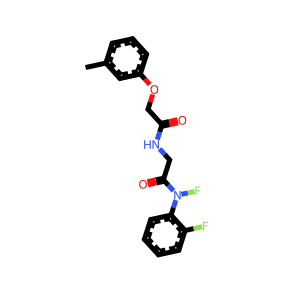 Cc1cccc(OCC(=O)NCC(=O)N(F)c2ccccc2F)c1